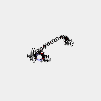 CO[C@H]1C[C@@H]2CC[C@@H](C)[C@@](O)(O2)C(=O)C(=O)N2CCCC[C@H]2C(=O)O[C@H]([C@H](N)C[C@@H]2CC[C@@H](OCCCCc3cn(CCOCCOCCOCCOCCOCCOCCOCCOCCC(=O)N4CCN(c5cc(-n6nc(-c7ccc8oc(N)nc8c7)c7c(N)ncnc76)ncn5)CC4)nn3)[C@H](OC)C2)CC(=O)[C@H](C)/C=C(\C)[C@@H](O)[C@@H](OC)C(=O)[C@H](C)C[C@H](C)/C=C/C=C/C=C/1C